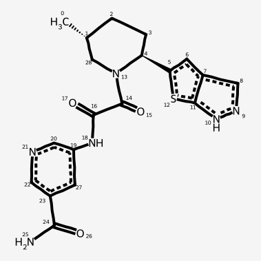 C[C@@H]1CC[C@@H](c2cc3cn[nH]c3s2)N(C(=O)C(=O)Nc2cncc(C(N)=O)c2)C1